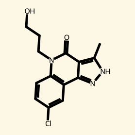 Cc1[nH]nc2c1c(=O)n(CCCO)c1ccc(Cl)cc21